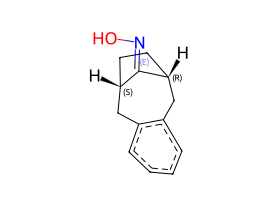 O/N=C1/[C@@H]2CC[C@H]1Cc1ccccc1C2